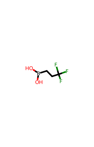 OB(O)CCC(F)(F)F